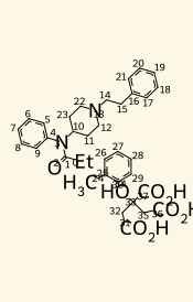 CCC(=O)N(c1ccccc1)C1CCN(CCc2ccccc2)CC1.Cc1ccccc1.O=C(O)CC(O)(CC(=O)O)C(=O)O